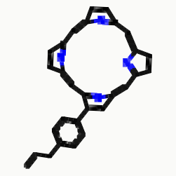 C=CCc1ccc(C2=CC3=CC4=NC(=CC5=NC(=CC6=NC(=CC2=N3)C=C6)C=C5)C=C4)cc1